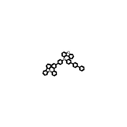 c1ccc(-c2ccc(-c3ccc(N(c4ccc(-c5cccc(-c6ccccc6-n6c7ccccc7c7ccccc76)c5)cc4)c4cccc5oc6ccccc6c45)cc3)cc2)cc1